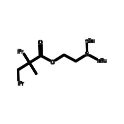 CCCCN(CCCC)CCOC(=O)C(C)(CC(C)C)C(C)C